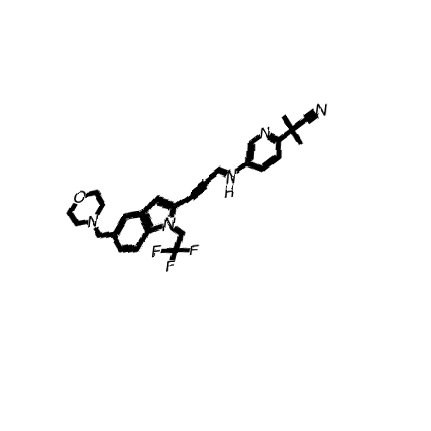 CC(C)(C#N)c1ccc(NCC#Cc2cc3cc(CN4CCOCC4)ccc3n2CC(F)(F)F)cn1